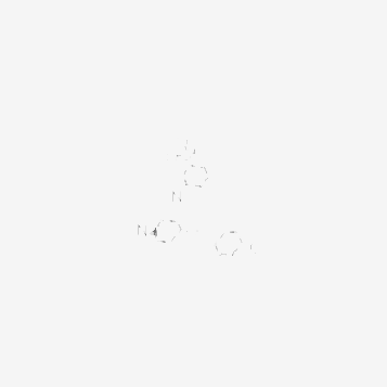 O=S(=O)([O-])c1cccc2c1CCCN2Cc1ccccc1OCc1ccc(Cl)cc1F.[Na+]